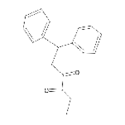 CCC(=O)C(=O)CC(c1ccccc1)c1ccccc1